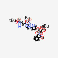 CC(C)(C)OC(=O)/N=c1\n(CCCNC(=O)OC(C)(C)C)ccn1-c1ccc(OC[C@H](ON2C(=O)c3ccccc3C2=O)C(=O)OC(C)(C)C)cn1